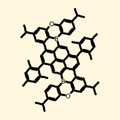 Cc1cc(C)c(-c2cc3c4c(cc5c(-c6c(C)cc(C)cc6C)cc6c7c(cc2c4c57)B2c4ccc(C(C)C)cc4Oc4cc(C(C)C)cc-6c42)B2c4ccc(C(C)C)cc4Oc4cc(C(C)C)cc-3c42)c(C)c1